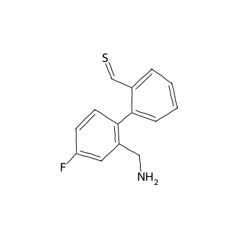 NCc1cc(F)ccc1-c1ccccc1C=S